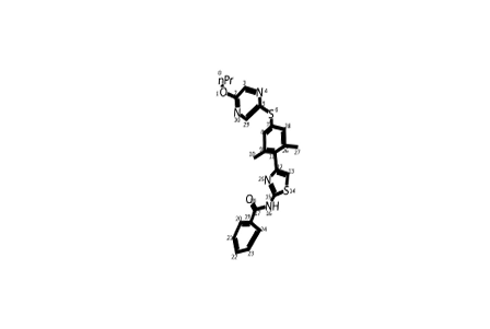 CCCOc1cnc(Sc2cc(C)c(-c3csc(NC(=O)c4ccccc4)n3)c(C)c2)cn1